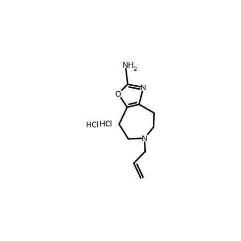 C=CCN1CCc2nc(N)oc2CC1.Cl.Cl